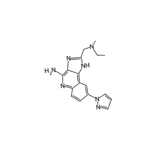 CCN(C)Cc1nc2c(N)nc3ccc(-n4cccn4)cc3c2[nH]1